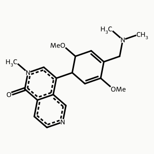 COC1=CC(c2cn(C)c(=O)c3ccncc23)C(OC)C=C1CN(C)C